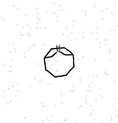 C1CCC2CCC(C1)CNC2